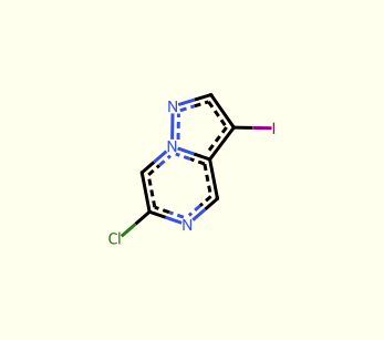 Clc1cn2ncc(I)c2cn1